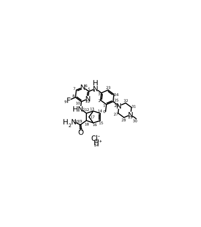 Cc1cc(Nc2ncc(F)c(NC3C4C=CC(C4)C3C(N)=O)n2)ccc1N1CCN(C)CC1.[Cl-].[H+]